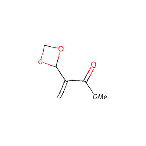 C=C(C(=O)OC)C1OCO1